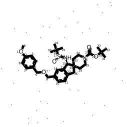 COc1ccc(COCc2ccc3c(c2)[C@@H](N[S@+]([O-])C(C)(C)C)C2(CCN(C(=O)OC(C)(C)C)CC2)C3)cc1